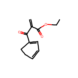 C=C(C(=O)OCC)C(=O)C1=CC=CCC1